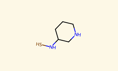 SNC1CCCNC1